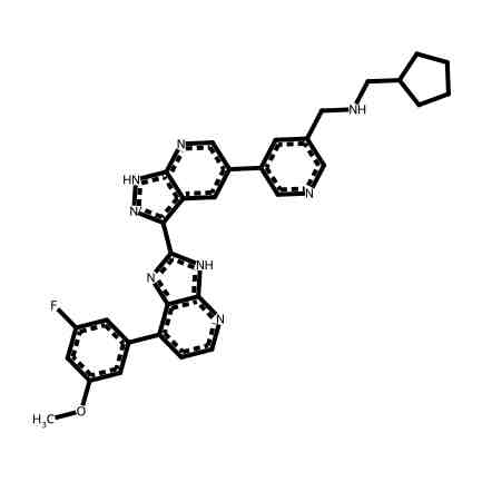 COc1cc(F)cc(-c2ccnc3[nH]c(-c4n[nH]c5ncc(-c6cncc(CNCC7CCCC7)c6)cc45)nc23)c1